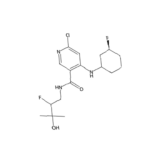 CC(C)(O)C(F)CNC(=O)c1cnc(Cl)cc1NC1CCC[C@H](F)C1